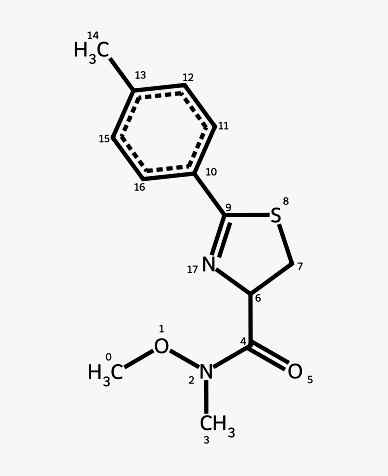 CON(C)C(=O)C1CSC(c2ccc(C)cc2)=N1